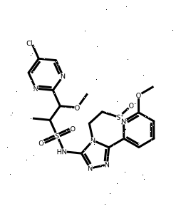 COc1cccc(-c2nnc(NS(=O)(=O)C(C)C(OC)c3ncc(Cl)cn3)n2CC[S@@+](C)[O-])n1